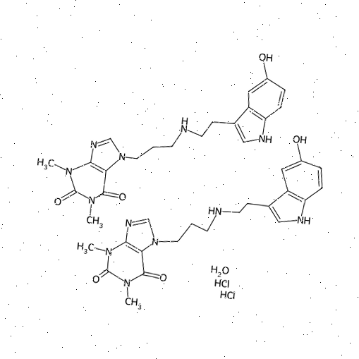 Cl.Cl.Cn1c(=O)c2c(ncn2CCCNCCc2c[nH]c3ccc(O)cc23)n(C)c1=O.Cn1c(=O)c2c(ncn2CCCNCCc2c[nH]c3ccc(O)cc23)n(C)c1=O.O